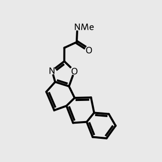 CNC(=O)Cc1nc2ccc3cc4ccccc4cc3c2o1